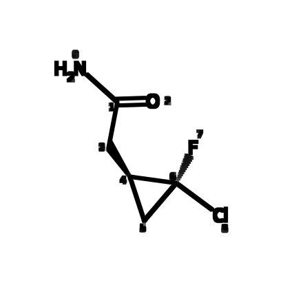 NC(=O)C[C@@H]1C[C@]1(F)Cl